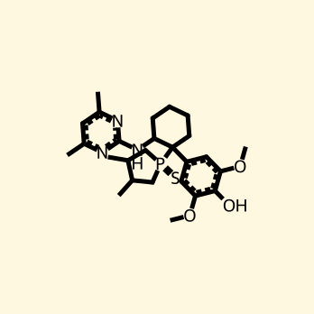 COc1cc(C2(P3(=S)CC(C)C(C)C3)CCCCC2Nc2nc(C)cc(C)n2)cc(OC)c1O